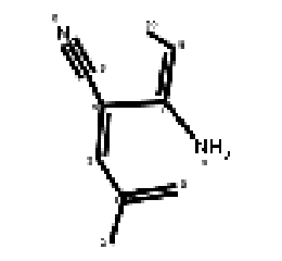 C=C(C)/C=C(C#N)\C(N)=C/C